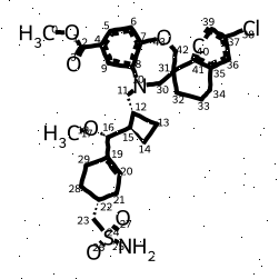 COC(=O)c1ccc2c(c1)N(C[C@@H]1CC[C@H]1[C@@H](OC)C1=CC[C@H](CS(N)(=O)=O)CC1)CC1(CCCc3cc(Cl)ccc31)CO2